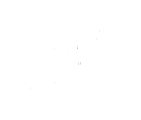 CCCCC[C@@]1(COCC)CCN(C(C)(C)c2ccc(C)nc2)C1